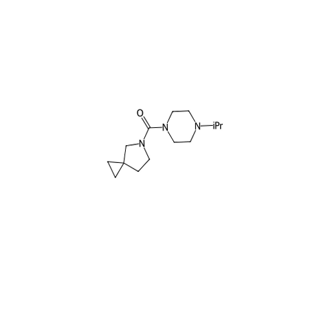 CC(C)N1CCN(C(=O)N2CCC3(CC3)C2)CC1